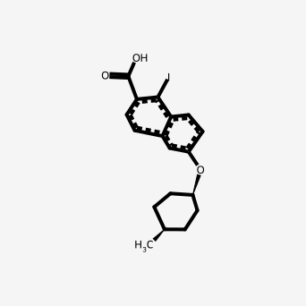 C[C@H]1CC[C@@H](Oc2ccc3c(I)c(C(=O)O)ccc3c2)CC1